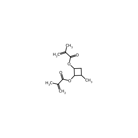 C=C(C)C(=O)OC1CC(C)C1OC(=O)C(=C)C